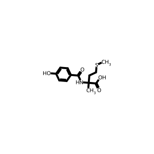 CSCCC(C)(NC(=O)c1ccc(O)cc1)C(=O)O